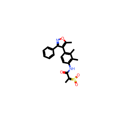 CC(C(=O)Nc1ccc(-c2c(-c3ccccc3)noc2C)c(C)c1C)=S(=O)=O